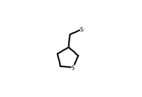 [S]CC1CCSC1